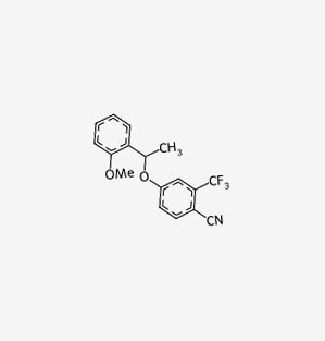 COc1ccccc1C(C)Oc1ccc(C#N)c(C(F)(F)F)c1